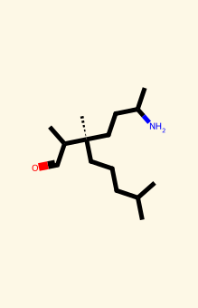 CC(C)CCC[C@](C)(CCC(C)N)C(C)C=O